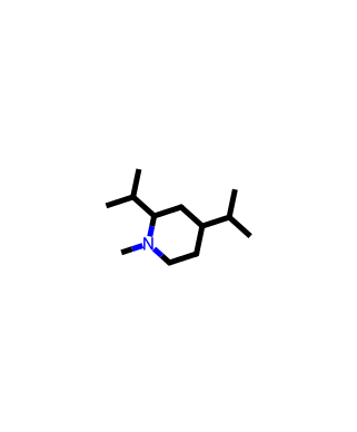 CC(C)C1CCN(C)C(C(C)C)C1